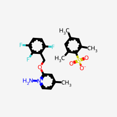 Cc1cc(C)c(S(=O)(=O)[O-])c(C)c1.Cc1cc[n+](N)c(OCc2c(F)ccc(F)c2F)c1